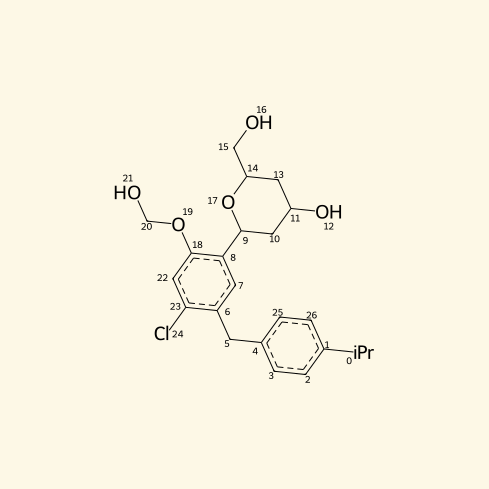 CC(C)c1ccc(Cc2cc(C3CC(O)CC(CO)O3)c(OCO)cc2Cl)cc1